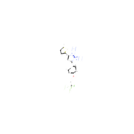 FC(F)(F)COc1ccc(C2C=C(c3cccs3)NN2)cc1